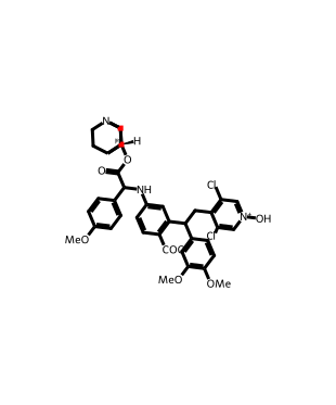 COc1ccc(C(Nc2ccc(C(=O)[O-])c(C(Cc3c(Cl)c[n+](O)cc3Cl)c3ccc(OC)c(OC)c3)c2)C(=O)O[C@H]2CN3CCC2CC3)cc1